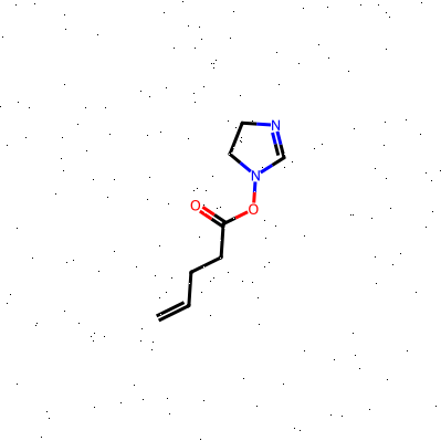 C=CCCC(=O)ON1C=NCC1